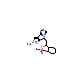 CC(C)(C)[Si](C)(C)OC(CC1c2nn(C(F)(F)F)cc2-c2cncn21)C1CCCCC1